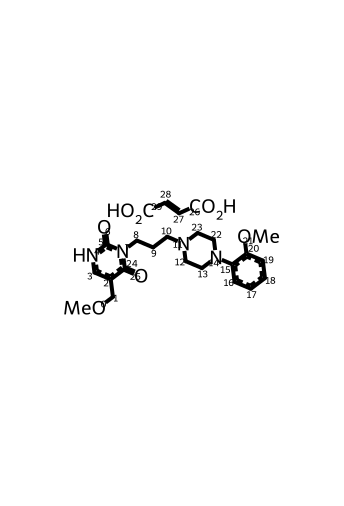 COCc1c[nH]c(=O)n(CCCN2CCN(c3ccccc3OC)CC2)c1=O.O=C(O)C=CC(=O)O